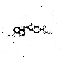 CNc1cccc2c(N[C@@H](C)CN3CCN(C(=O)OC(C)(C)C)CC3)ncnc12